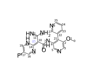 COc1cncc(NC(=O)/C(C(=N)N)=C2\N=CC(F)=CN2)c1-c1cccnc1